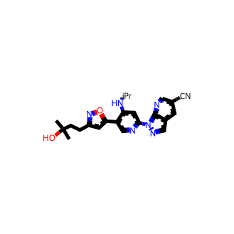 CC(C)Nc1cc(-n2ncc3cc(C#N)cnc32)ncc1-c1cc(CCC(C)(C)O)no1